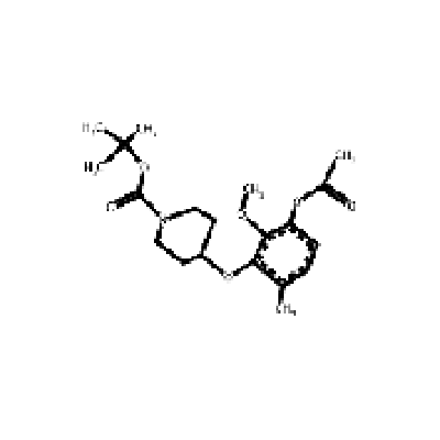 COc1c(OC(C)=O)ccc(C)c1OC1CCN(C(=O)OC(C)(C)C)CC1